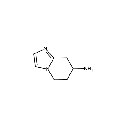 NC1CCn2ccnc2C1